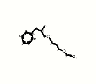 CC(COCCCO[C]=O)Cc1ccccc1